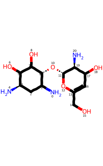 NC1C[C@@H](N)C(O)C(O)[C@@H]1O[C@H]1OC(CO)=CC(O)[C@@H]1N